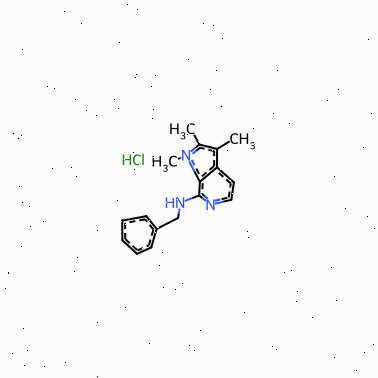 Cc1c(C)n(C)c2c(NCc3ccccc3)nccc12.Cl